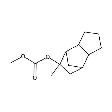 COC(=O)OC1(C)CC2CC1C1CCCC21